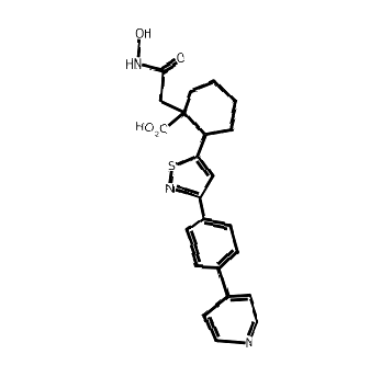 O=C(CC1(C(=O)O)CCCCC1c1cc(-c2ccc(-c3ccncc3)cc2)ns1)NO